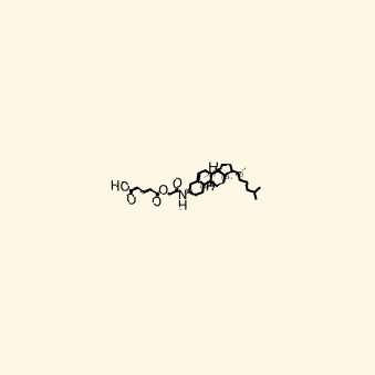 CC(C)CCC[C@@H](C)C1CC[C@H]2[C@]3(C)CC=C4C[C@@H](NC(=O)COC(=O)CCCC(=O)O)CC[C@]4(C)[C@H]3CC[C@]12C